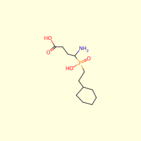 NC(CCC(=O)O)P(=O)(O)CCC1CCCCC1